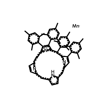 Cc1cc(C)c(C2=Cc3cc4ccc(cc5nc(cc6[nH]c(c(-c7c(C)cc(C)cc7C)c2n3)c(-c2c(C)cc(C)cc2C)c6-c2c(C)cc(C)cc2C)C=C5)[nH]4)c(C)c1.[Mn]